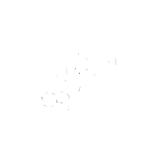 CC(CC(F)(F)F)C(=O)C(=O)NC1C=Cc2c(c3ccccc3[s+]2[O-])C1=O